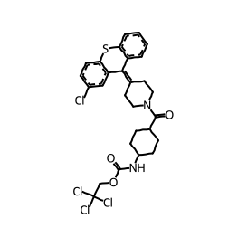 O=C(NC1CCC(C(=O)N2CCC(=C3c4ccccc4Sc4ccc(Cl)cc43)CC2)CC1)OCC(Cl)(Cl)Cl